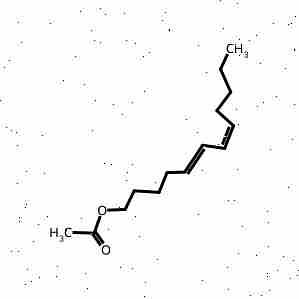 CCCC/C=C\C=C\CCCCOC(C)=O